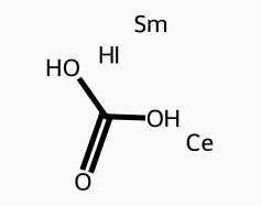 I.O=C(O)O.[Ce].[Sm]